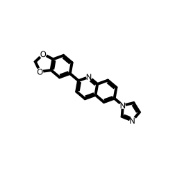 c1cn(-c2ccc3nc(-c4ccc5c(c4)OCO5)ccc3c2)cn1